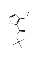 COc1cc[nH]c1C(=O)OC(C)(C)C